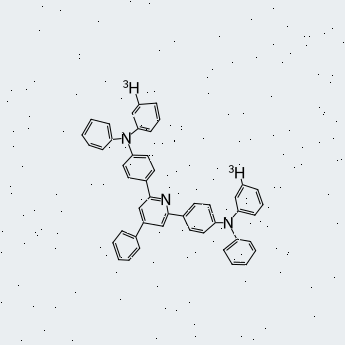 [3H]c1cccc(N(c2ccccc2)c2ccc(-c3cc(-c4ccccc4)cc(-c4ccc(N(c5ccccc5)c5cccc([3H])c5)cc4)n3)cc2)c1